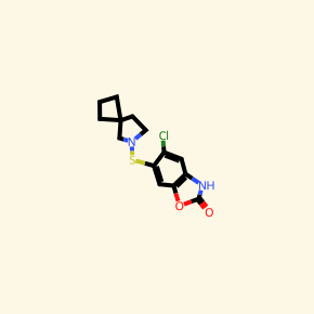 O=c1[nH]c2cc(Cl)c(SN3CCC4(CCC4)C3)cc2o1